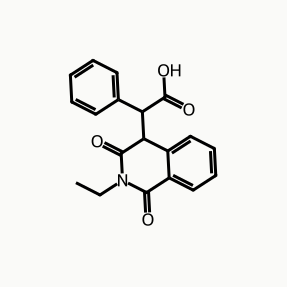 CCN1C(=O)c2ccccc2C(C(C(=O)O)c2ccccc2)C1=O